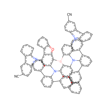 N#Cc1ccc2c(c1)c1ccccc1n2-c1ccc2c(c1)N(c1c(-c3ccccc3)cccc1-c1ccccc1)c1cc(-c3ccccc3)cc3c1B2c1c(cc(-n2c4ccccc4c4cc(C#N)ccc42)c2c1oc1ccccc12)N3c1c(-c2ccccc2)cccc1-c1ccccc1